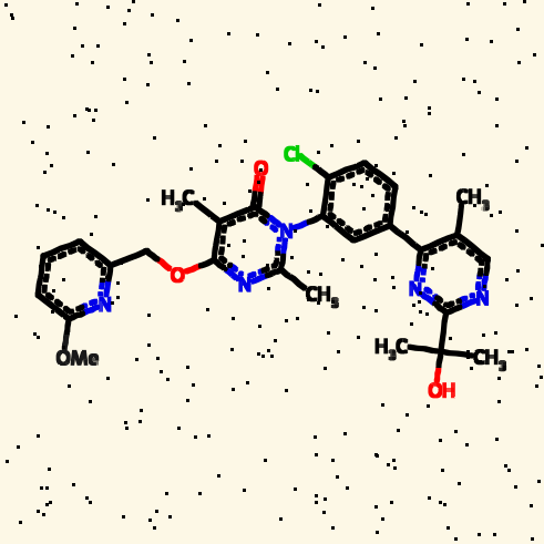 COc1cccc(COc2nc(C)n(-c3cc(-c4nc(C(C)(C)O)ncc4C)ccc3Cl)c(=O)c2C)n1